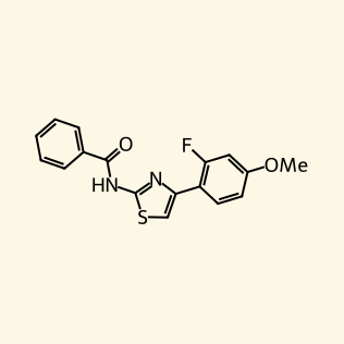 COc1ccc(-c2csc(NC(=O)c3ccccc3)n2)c(F)c1